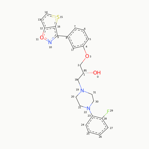 O[C@@H](COc1cccc(-c2noc3ccsc23)c1)CN1CCN(c2ccccc2F)CC1